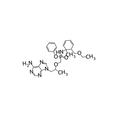 CCOCC1C=CC=CC1(C)NP(=O)(COC(C)Cn1cnc2c(N)ncnc21)Oc1ccccc1